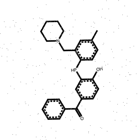 Cc1ccc(Pc2cc(C(=O)c3ccccc3)ccc2O)c(CN2CCCCC2)c1